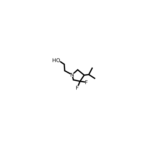 CC(C)C1CN(CCO)CC1(F)F